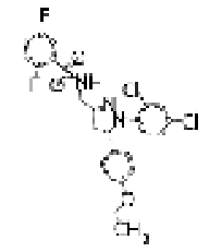 CCOc1ccc([C@@H]2CC(CNS(=O)(=O)c3cc(F)ccc3F)=NN2c2ccc(Cl)cc2Cl)cc1